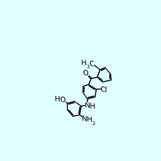 Cc1ccccc1C(=O)c1ccc(Nc2cc(O)ccc2N)cc1Cl